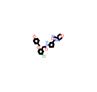 COc1ccc(COc2ccc(Cl)cc2CC(=O)Nc2cccc(C(=O)NC3(C#N)CCOCC3)c2)cc1